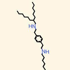 CCCCCCNCCc1ccc(CCNCC(CCCCCC)CCCCCC)cc1